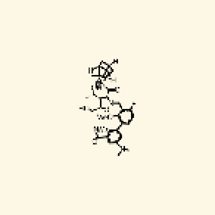 CNC(=O)c1cc(-c2ccc(F)c(CN3O[C@@H](CO)[C@@H]([C@H](C)O)[C@H]3C(=O)N[C@H]3C[C@H]4C[C@@H]([C@@H]3C)C4(C)C)c2OC)cc(N(C)C)c1